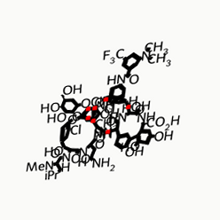 CNC(CC(C)C)C(=O)NC1C(=O)NC(CC(N)=O)C(=O)NC2C(=O)N[C@H]3C(=O)N[C@H](C(=O)N[C@@H](C(=O)O)c4cc(O)cc(O)c4-c4cc3ccc4O)[C@H](O)c3ccc(c(Cl)c3)Oc3cc2cc(c3OC2C[C@H](CO)[C@@H](O)[C@H](O)[C@H]2O[C@@H]2C[C@@H](C)[C@@H](O)[C@@](C)(NCc3cccc(NC(=O)c4cc(N(C)C)cc(C(F)(F)F)c4)c3)C2)Oc2ccc(cc2Cl)C1O